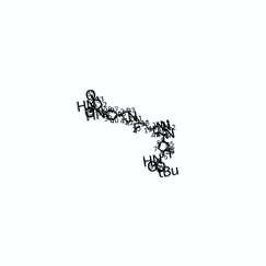 CC(C)(C)OC(=O)NCc1ccc(-c2ncnn3cc(CCC(F)CN4CCC(c5ccc(NC6CCC(=O)NC6=O)cc5)CC4)cc23)cc1F